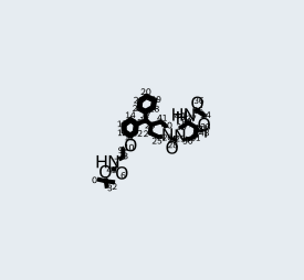 CC(C)(C)OC(=O)NCCOc1cccc(C(c2ccccc2)C2CCN(C(=O)N3CC[C@@H]4OCC(=O)N[C@@H]4C3)CC2)c1